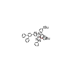 CC(C)(C)c1ccc2c(c1)c1cc(C(C)(C)C)ccc1n2-c1ncc(-c2ccc(-c3ccccc3)c(-c3ccccc3)c2)cc1-c1nc(-c2ccccc2)nc(-c2ccccc2)n1